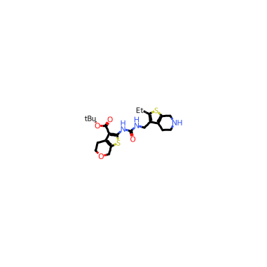 CCc1sc2c(c1CNC(=O)Nc1sc3c(c1C(=O)OC(C)(C)C)CCOC3)CCNC2